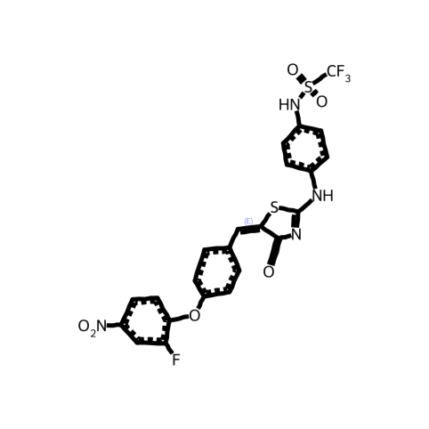 O=C1N=C(Nc2ccc(NS(=O)(=O)C(F)(F)F)cc2)S/C1=C/c1ccc(Oc2ccc([N+](=O)[O-])cc2F)cc1